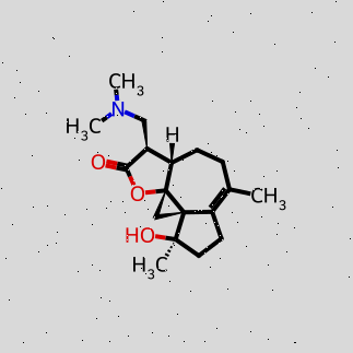 CC1=C2CC[C@@](C)(O)[C@@]23C[C@]32OC(=O)[C@@H](CN(C)C)[C@@H]2CC1